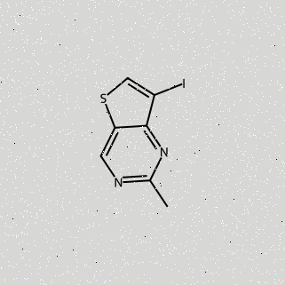 Cc1ncc2scc(I)c2n1